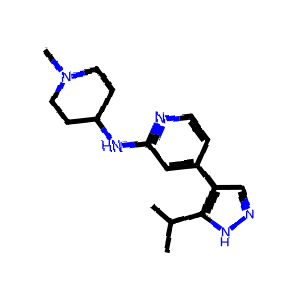 CC(C)c1[nH]ncc1-c1ccnc(NC2CCN(C)CC2)c1